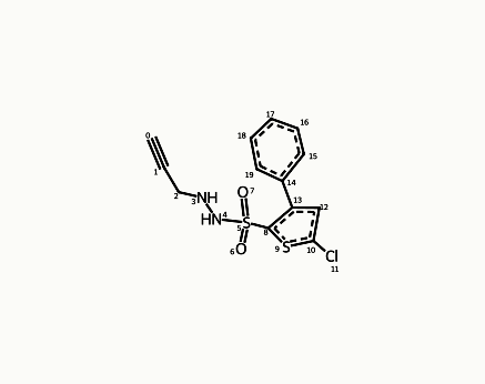 C#CCNNS(=O)(=O)c1sc(Cl)cc1-c1ccccc1